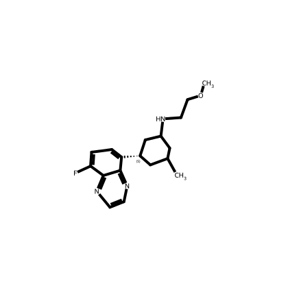 COCCNC1CC(C)C[C@H](c2ccc(F)c3nccnc23)C1